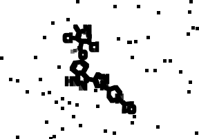 Cc1ncc(Cl)c([C@@H](C)Oc2ccc3[nH]nc(-c4cnn(C5CCN(C6COC6)CC5)c4)c3c2)c1Cl